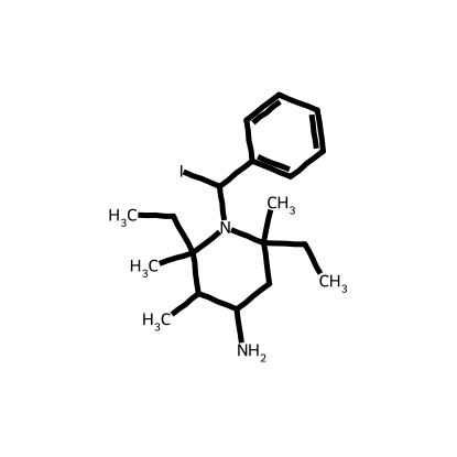 CCC1(C)CC(N)C(C)C(C)(CC)N1C(I)c1ccccc1